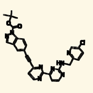 CC(C)(C)OC(=O)n1ncc2cc(C#Cc3ccnc(-c4ccnc(NCc5ccc(Cl)cn5)n4)n3)ccc21